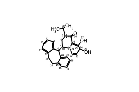 CC(C)N1C[C@H](C2c3ccccc3CCc3ccccc32)N2C=CC(O)C(O)=C2C1=O